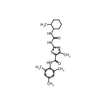 Cc1cc(C)c(NC(=O)c2sc(NC(=O)NC3CCCCC3C)nc2C)c(C)c1